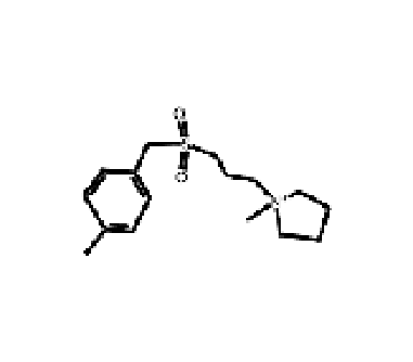 Cc1ccc(CS(=O)(=O)CCC[N+]2(C)CCCC2)cc1